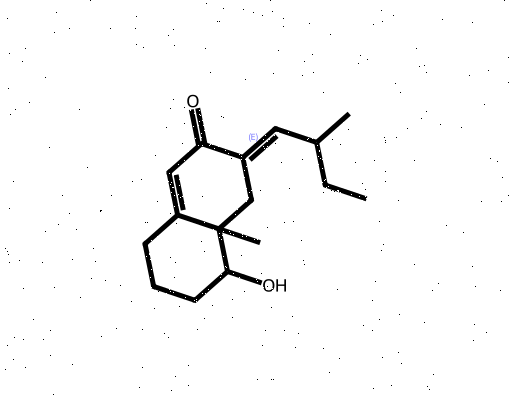 CCC(C)/C=C1\CC2(C)C(=CC1=O)CCCC2O